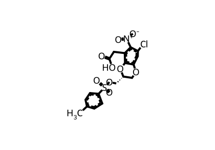 Cc1ccc(S(=O)(=O)OC[C@H]2COc3cc(Cl)c([N+](=O)[O-])c(CC(=O)O)c3O2)cc1